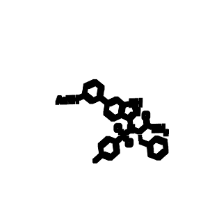 CC(=O)Nc1cccc(-c2ccc3c(N([C@@H](Cc4ccccc4)C(N)=O)S(=O)(=O)c4ccc(C)cc4)n[nH]c3c2)c1